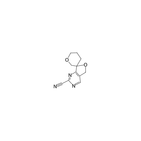 N#Cc1ncc2c(n1)C1(CCCOC1)OC2